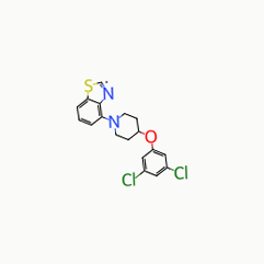 Clc1cc(Cl)cc(OC2CCN(c3cccc4s[c]nc34)CC2)c1